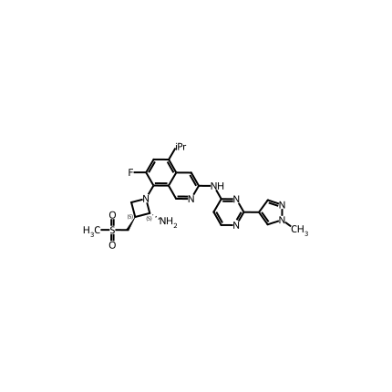 CC(C)c1cc(F)c(N2C[C@H](CS(C)(=O)=O)[C@H]2N)c2cnc(Nc3ccnc(-c4cnn(C)c4)n3)cc12